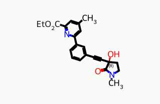 CCOC(=O)c1cc(C)cc(-c2cccc(C#C[C@]3(O)CCN(C)C3=O)c2)n1